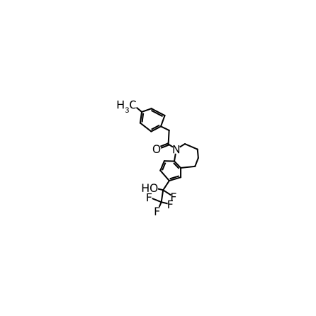 Cc1ccc(CC(=O)N2CCCCc3cc(C(O)(F)C(F)(F)F)ccc32)cc1